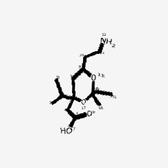 CC(C)C1(CC(=O)O)CC(CCN)OC(C)(C)O1